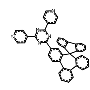 c1ccc2c(c1)-c1ccccc1C1(c3cc(-c4nc(-c5ccncc5)nc(-c5ccncc5)n4)ccc3-2)c2ccccc2-c2ccccc21